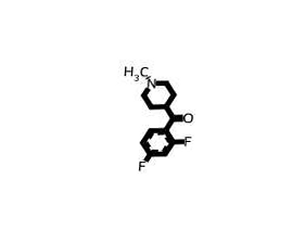 CN1CCC(C(=O)c2ccc(F)cc2F)CC1